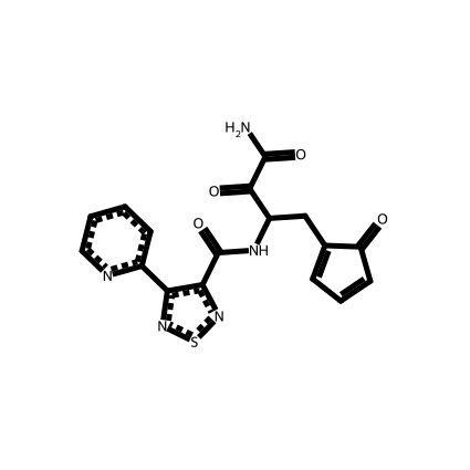 NC(=O)C(=O)C(CC1=CC=CC1=O)NC(=O)c1nsnc1-c1ccccn1